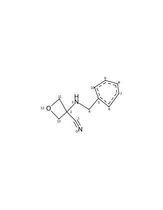 N#CC1(NCc2ccccc2)COC1